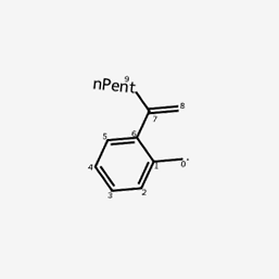 [CH2]c1ccccc1C(=C)CCCCC